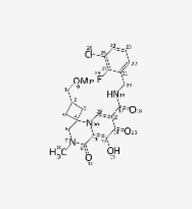 COCC1CC2(C1)CN(C)C(=O)c1c(O)c(=O)c(C(=O)NCc3cccc(Cl)c3F)cn12